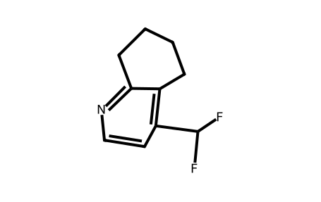 FC(F)c1ccnc2c1CCCC2